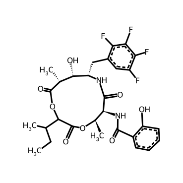 CCC(C)C1OC(=O)[C@H](C)[C@H](O)[C@H](Cc2cc(F)c(F)c(F)c2F)NC(=O)[C@@H](NC(=O)c2ccccc2O)[C@@H](C)OC1=O